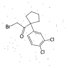 O=C(CBr)C1(c2ccc(Cl)c(Cl)c2)CCCC1